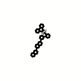 c1ccc2cc(-c3ccc4cc(-c5ccc6c(c5)c5ccccc5c5nc7c8ccccc8c8ccccc8c7n65)ccc4c3)ccc2c1